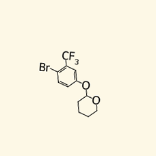 FC(F)(F)c1cc(OC2CCCCO2)ccc1Br